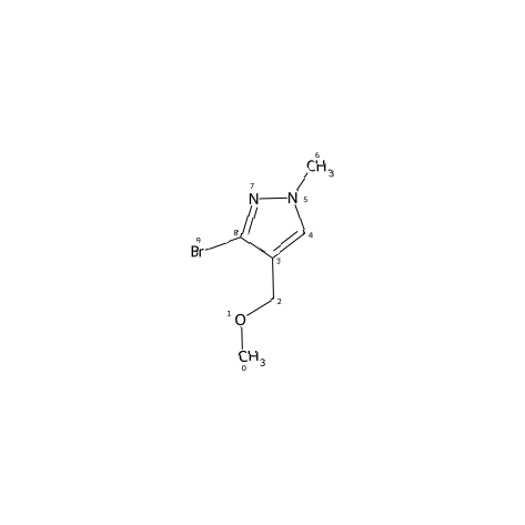 COCc1cn(C)nc1Br